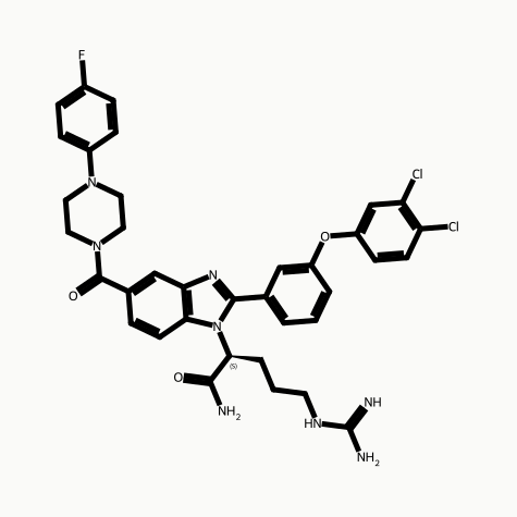 N=C(N)NCCC[C@@H](C(N)=O)n1c(-c2cccc(Oc3ccc(Cl)c(Cl)c3)c2)nc2cc(C(=O)N3CCN(c4ccc(F)cc4)CC3)ccc21